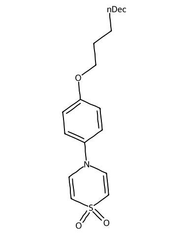 CCCCCCCCCCCCCOc1ccc(N2C=CS(=O)(=O)C=C2)cc1